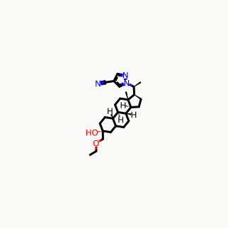 CCOC[C@@]1(O)CC[C@H]2C(CC[C@@H]3[C@@H]2CC[C@]2(C)[C@@H]([C@H](C)n4cc(C#N)cn4)CC[C@@H]32)C1